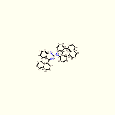 c1ccc2c(-c3nc(-n4c5cccc6c5c5c(cccc54)-c4cccc5cccc-6c45)nc4ccccc34)cccc2c1